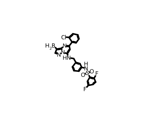 Bc1cnn2c(NCc3cccc(NS(=O)(=O)c4cc(F)ccc4F)c3)cc(-c3ccccc3Cl)nc12